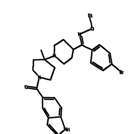 CCO/N=C(\c1ccc(Br)cc1)C1CCN(C2(C)CCN(C(=O)c3ccc4[nH]ccc4c3)CC2)CC1